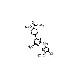 COC(=O)C1(OC)CCC(c2cc(C)nc(Nc3cc(C)n(C(=O)O)n3)n2)CC1